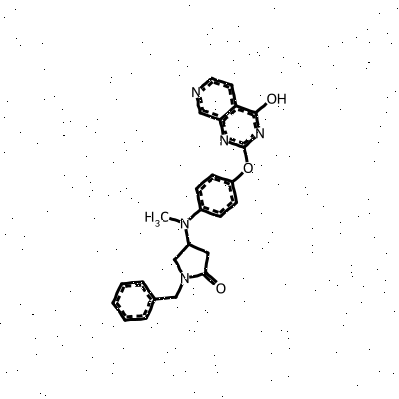 CN(c1ccc(Oc2nc(O)c3ccncc3n2)cc1)C1CC(=O)N(Cc2ccccc2)C1